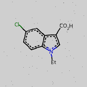 CCn1cc(C(=O)O)c2cc(Cl)ccc21